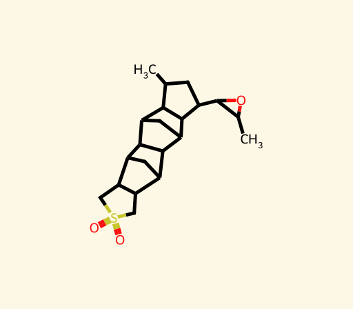 CC1CC(C2OC2C)C2C3CC(C12)C1C2CC(C4CS(=O)(=O)CC42)C31